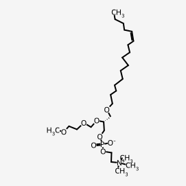 CCCC/C=C\CCCCCCCCCCOC[C@H](COP(=O)([O-])OCC[N+](C)(C)C)OCOCCOC